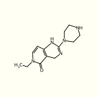 CCn1ccc2c(c1=O)CN=C(N1CCNCC1)N2